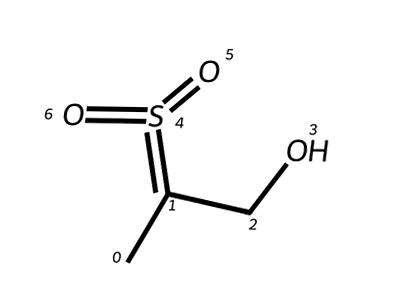 CC(CO)=S(=O)=O